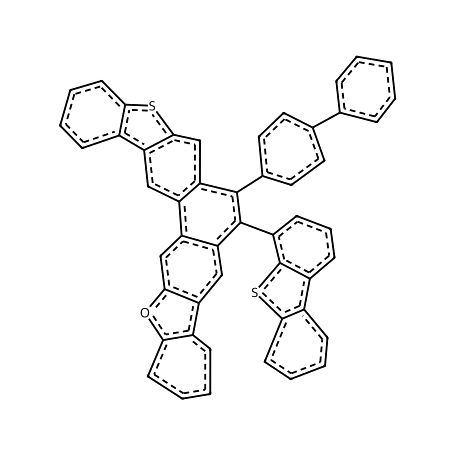 c1ccc(-c2ccc(-c3c(-c4cccc5c4sc4ccccc45)c4cc5c(cc4c4cc6c(cc34)sc3ccccc36)oc3ccccc35)cc2)cc1